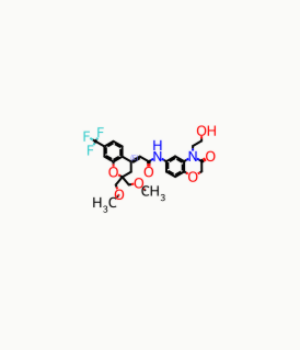 COCC1(COC)C/C(=C\C(=O)Nc2ccc3c(c2)N(CCO)C(=O)CO3)c2ccc(C(F)(F)F)cc2O1